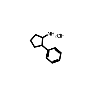 Cl.NC1CCCC1c1ccccc1